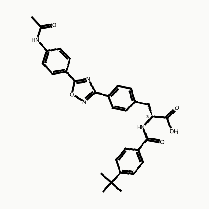 CC(=O)Nc1ccc(-c2nc(-c3ccc(C[C@H](NC(=O)c4ccc(C(C)(C)C)cc4)C(=O)O)cc3)no2)cc1